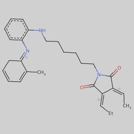 C/C=C1/C(=O)N(CCCCCCNc2ccccc2/N=C2\CC=CC=C2C)C(=O)/C1=C/CC